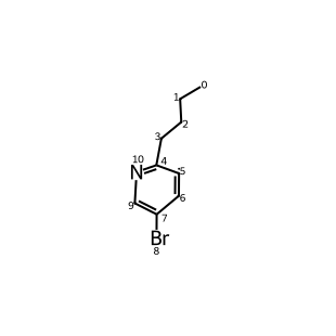 CCCCc1[c]cc(Br)cn1